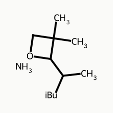 CCC(C)C(C)C1OCC1(C)C.N